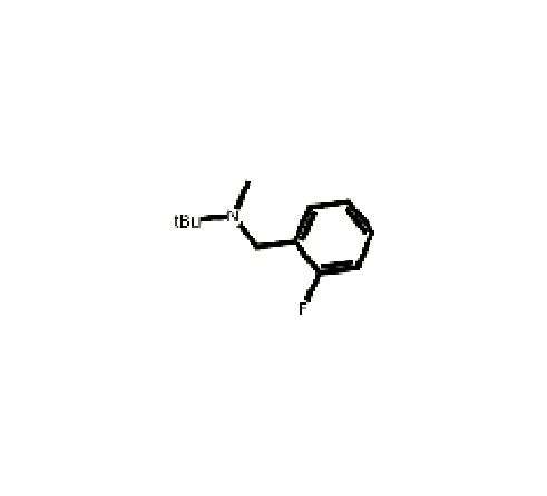 CN(Cc1ccccc1F)C(C)(C)C